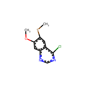 COc1cc2ncnc(Cl)c2cc1SC